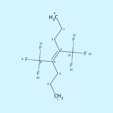 CCCC(=C(CCC)C(F)(F)F)C(F)(F)F